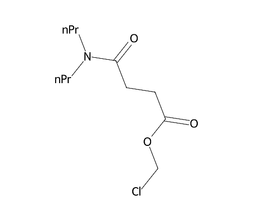 CCCN(CCC)C(=O)CCC(=O)OCCl